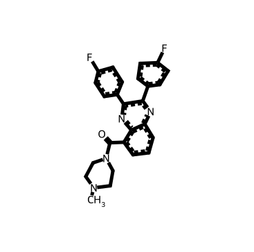 CN1CCN(C(=O)c2cccc3nc(-c4ccc(F)cc4)c(-c4ccc(F)cc4)nc23)CC1